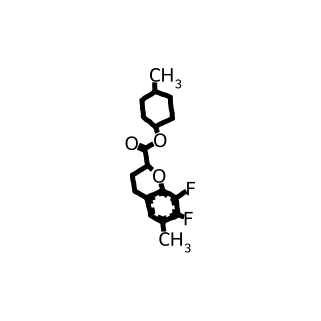 Cc1cc2c(c(F)c1F)OC(C(=O)OC1CCC(C)CC1)CC2